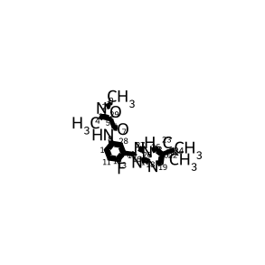 Cc1nc(C)c(C(=O)Nc2ccc(F)c(-c3nc4ncc(C(C)(C)C)cn4n3)c2)o1